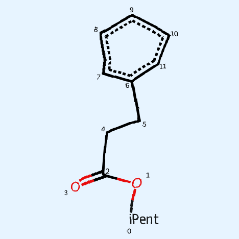 CCCC(C)OC(=O)CCc1ccccc1